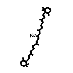 CC1=C(/C=C/C(C)=C/C=C/C(C)=C/C=C/C=C(C)/C=C/C=C(C)/C=C/C2=C(C)CCCC2(C)C)C(C)(C)CCC1.[Na]